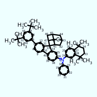 CC(C)(C)c1cc(-c2ccc3c(c2)C2(c4cc(N(c5ccccc5)c5ccc6c(c5)C(C)(C)CCC6(C)C)ccc4-3)C3CC4CC5CC2C53C4)cc(C(C)(C)C)c1